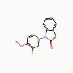 COc1ccc(N2C(=O)Cc3ccccc32)cc1F